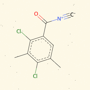 [C-]#[N+]C(=O)c1cc(C)c(Cl)c(C)c1Cl